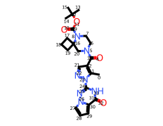 Cc1c(C(=O)N2CCN(C(=O)OC(C)(C)C)C3(CCC3)C2)cnn1-c1nn2cccc2c(=O)[nH]1